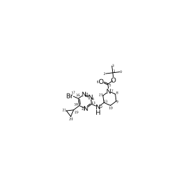 CC(C)(C)OC(=O)N1CCCC(Nc2nnc(Br)c(C3CC3)n2)C1